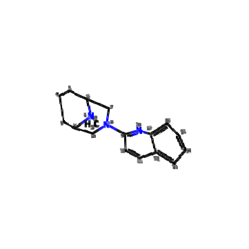 CN1C2CCCC1CN(c1ccc3ccccc3n1)C2